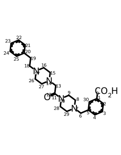 O=C(O)c1cccc(CN2CCN(C(=O)CN3CCN(CCc4ccccc4)CC3)CC2)c1